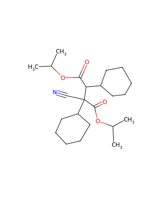 CC(C)OC(=O)C(C1CCCCC1)C(C#N)(C(=O)OC(C)C)C1CCCCC1